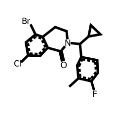 Cc1cc(C(C2CC2)N2CCc3c(Br)cc(Cl)cc3C2=O)ccc1F